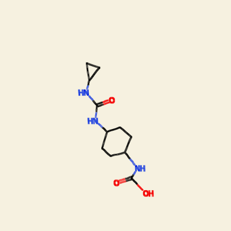 O=C(O)NC1CCC(NC(=O)NC2CC2)CC1